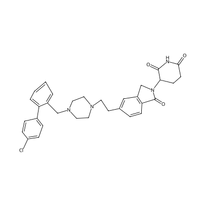 O=C1CCC(N2Cc3cc(CCN4CCN(Cc5ccccc5-c5ccc(Cl)cc5)CC4)ccc3C2=O)C(=O)N1